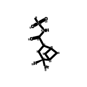 CC(C)[C@@H]1CC(C(=O)NS(C)(=O)=O)C2CC1C2